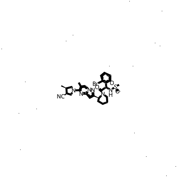 Cc1cn2nc([C@@H]3CCCCN3C(=O)C(NS(C)(=O)=O)c3ccccc3Br)cc2nc1N1C[C@@H](C#N)[C@@H](C)C1